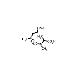 CC(C(=O)O)N(C)C.COCCN(C)C